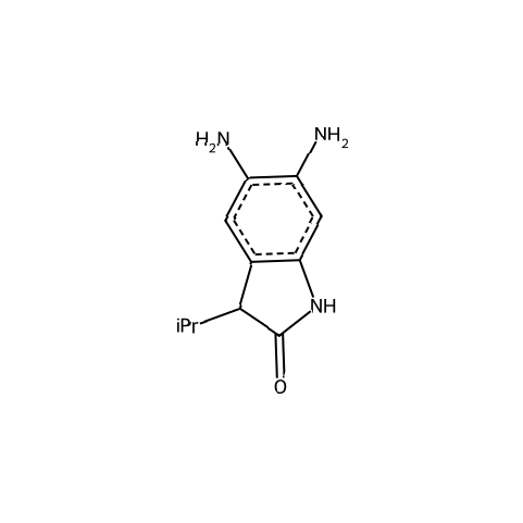 CC(C)C1C(=O)Nc2cc(N)c(N)cc21